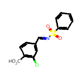 O=C(O)c1ccc(/C=N/S(=O)(=O)c2ccccc2)cc1Cl